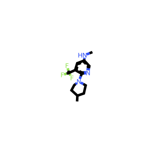 CNc1cnc(N2CCC(C)CC2)c(C(F)(F)F)c1